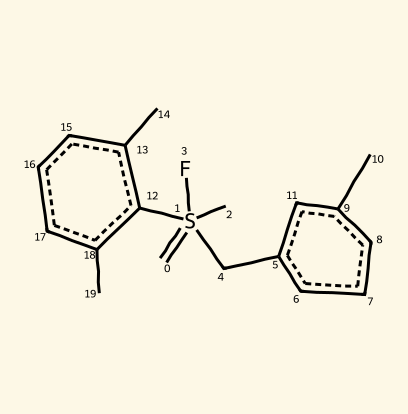 C=S(C)(F)(Cc1cccc(C)c1)c1c(C)cccc1C